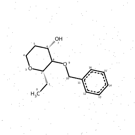 CC[C@@H]1OCC[C@H](O)C1OCc1ccccc1